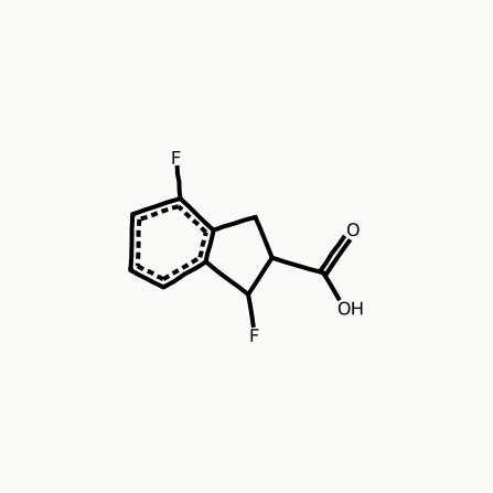 O=C(O)C1Cc2c(F)cccc2C1F